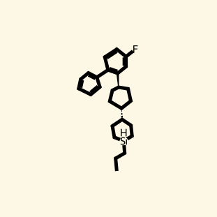 CCC[SiH]1CCC([C@H]2CC[C@H](c3cc(F)ccc3-c3ccccc3)CC2)CC1